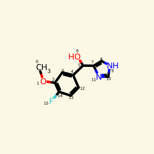 COc1cc(C(O)c2c[nH]cn2)ccc1F